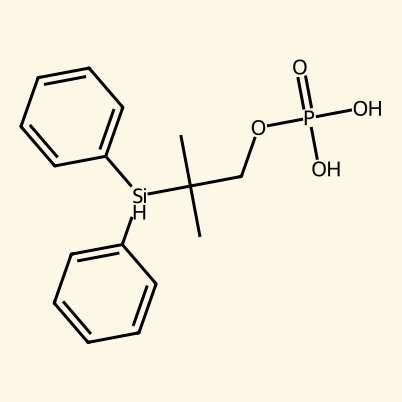 CC(C)(COP(=O)(O)O)[SiH](c1ccccc1)c1ccccc1